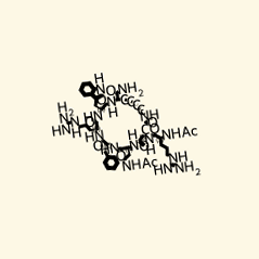 CC(=O)NCC[C@@H]1NC(=O)[C@@H](NC(=O)[C@H](CCCNC(=N)N)NC(C)=O)CC(=O)NCCCCC(C(N)=O)NC(=O)[C@H](Cc2c[nH]c3ccccc23)NC(=O)[C@H](CCCNC(=N)N)NC(=O)[C@@H](Cc2ccccc2)NC1=O